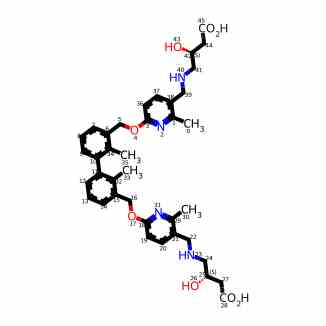 Cc1nc(OCc2cccc(-c3cccc(COc4ccc(CNC[C@@H](O)CC(=O)O)c(C)n4)c3C)c2C)ccc1CNC[C@@H](O)CC(=O)O